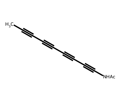 CC#CC#CC#CC#CNC(C)=O